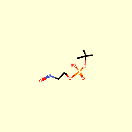 CC(C)(C)OP(=O)(O)OCCN=O